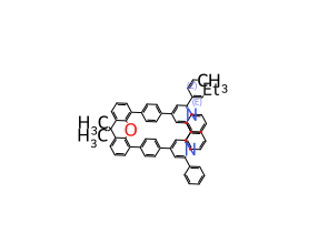 C/C=C\C(=C/CC)c1cc(-c2ccc(-c3cccc4c3Oc3c(-c5ccc(-c6cc(-c7ccccc7)nc(-c7ccccc7)c6)cc5)cccc3C4(C)C)cc2)cc(-c2ccccc2)n1